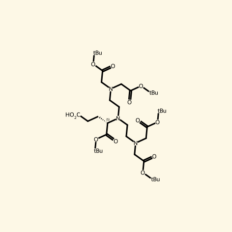 CC(C)(C)OC(=O)CN(CCN(CCN(CC(=O)OC(C)(C)C)CC(=O)OC(C)(C)C)[C@@H](CCC(=O)O)C(=O)OC(C)(C)C)CC(=O)OC(C)(C)C